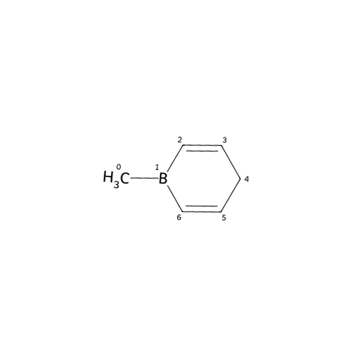 CB1C=CCC=C1